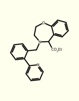 CCOC(=O)C1c2ccccc2OCCN1Cc1ccccc1-c1ccccn1